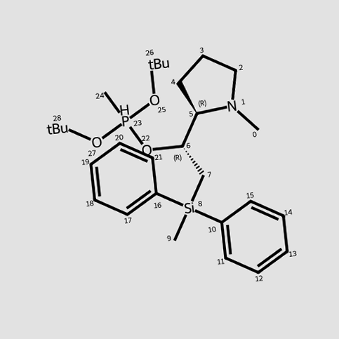 CN1CCC[C@@H]1[C@H](C[Si](C)(c1ccccc1)c1ccccc1)O[PH](C)(OC(C)(C)C)OC(C)(C)C